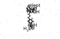 CCCCCCCN1C=CN(CCCCc2ccc(NS(C)(=O)=O)cc2)C1OP(=O)(O)O